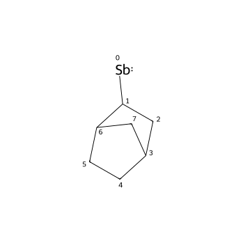 [Sb][CH]1CC2CCC1C2